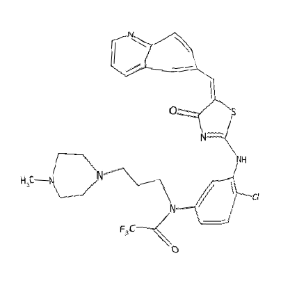 CN1CCN(CCCN(C(=O)C(F)(F)F)c2ccc(Cl)c(NC3=NC(=O)C(=Cc4ccc5ncccc5c4)S3)c2)CC1